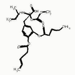 CCCCC(=O)Oc1ccc(C[C@](NC(C)CC)(OC(=O)OC)C(=O)O)cc1OC(=O)CCCC